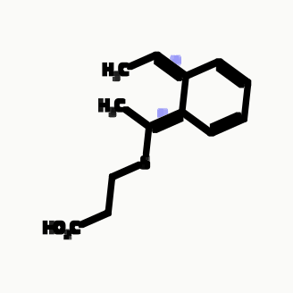 C/C=c1/cccc/c1=C(/C)SCCC(=O)O